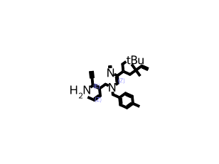 C#C/C(N)=C(/C=C\C)CN(/C=C(\N=C)C(CC(C)(C)C)CC(C)(C)C=C)Cc1ccc(C)cc1